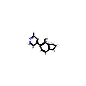 Cc1cc(-c2ccc3c(c2C)CCC3)ccn1